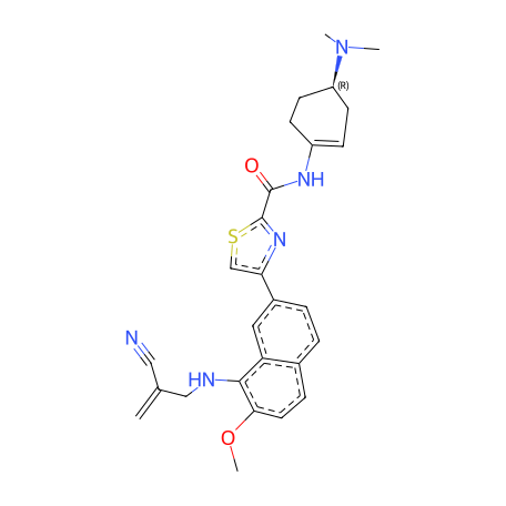 C=C(C#N)CNc1c(OC)ccc2ccc(-c3csc(C(=O)NC4=CC[C@H](N(C)C)CC4)n3)cc12